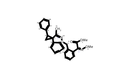 CO/N=C(\C(=O)OC)c1ccccc1CO/N=C(/C)C1(c2ccccc2)CC1c1ccccc1